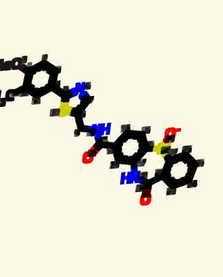 COc1ccc(-c2ncc(CNC(=O)c3ccc4c(c3)NC(=O)c3ccccc3[S+]4[O-])s2)cc1C